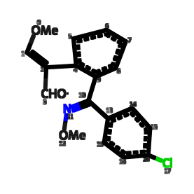 CO/C=C(/[C]=O)c1ccccc1/C(=N/OC)c1ccc(Cl)cc1